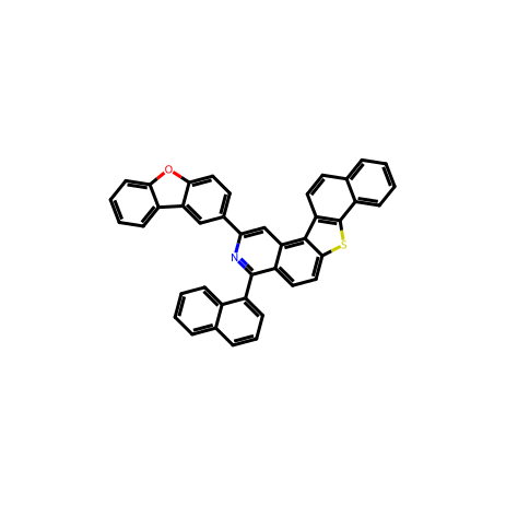 c1ccc2c(-c3nc(-c4ccc5oc6ccccc6c5c4)cc4c3ccc3sc5c6ccccc6ccc5c34)cccc2c1